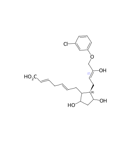 O=C(O)C=CCC=CCC1C(O)CC(O)[C@@H]1C/C=C(\O)COc1cccc(Cl)c1